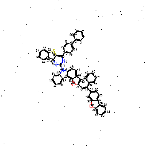 c1ccc(-c2ccc(-c3nc(-n4c5ccccc5c5c6oc7cc(-c8ccc9c(c8)oc8ccccc89)c8ccccc8c7c6ccc54)nc4c3sc3ccccc34)cc2)cc1